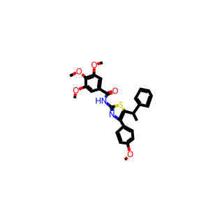 COc1ccc(-c2nc(NC(=O)c3cc(OC)c(OC)c(OC)c3)sc2C(C)c2ccccc2)cc1